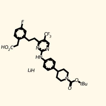 CC(C)(C)OC(=O)N1CCC(c2ccc(Nc3ncc(C(F)(F)F)c(CCc4cc(F)ccc4CC(=O)O)n3)cc2)CC1.[LiH]